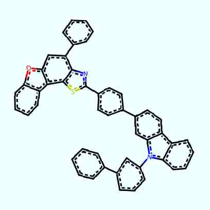 c1ccc(-c2cccc(-n3c4ccccc4c4ccc(-c5ccc(-c6nc7c(-c8ccccc8)cc8oc9ccccc9c8c7s6)cc5)cc43)c2)cc1